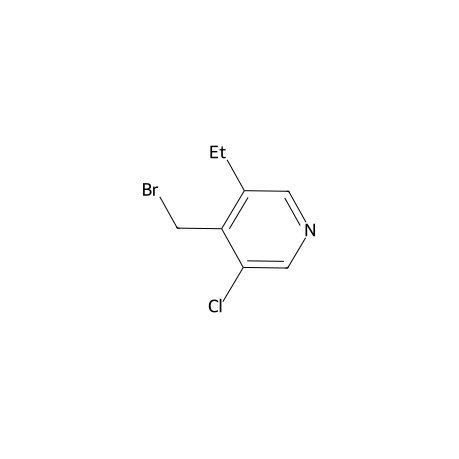 CCc1cncc(Cl)c1CBr